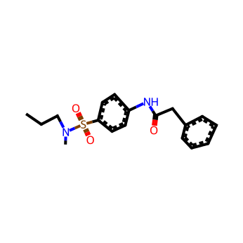 CCCN(C)S(=O)(=O)c1ccc(NC(=O)Cc2ccccc2)cc1